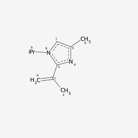 C=C(C)c1nc(C)cn1C(C)C